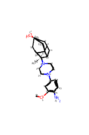 COc1cc(N2CCN([C@H]3C4CC5CC3C[C@@](O)(C5)C4)CC2)ccc1N